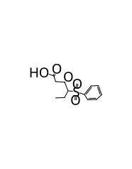 CCC(C(=O)CC(=O)O)S(=O)(=O)c1ccccc1